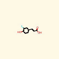 O=C(O)C=Cc1ccc(O)c(F)c1